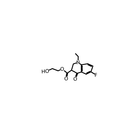 CCN1CC(C(=O)OCCO)C(=O)c2cc(F)ccc21